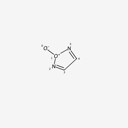 [O-][o+]1nccn1